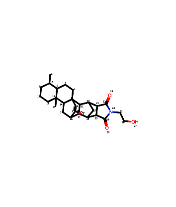 CC(C)C1=CC23CCC4C(C)CCCC4(C)C2CC1C1C2CC(C4C(=O)N(CCO)C(=O)C24)C13